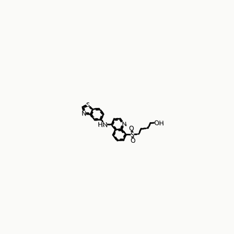 O=S(=O)(CCCCO)c1cccc2c(Nc3ccc4scnc4c3)ccnc12